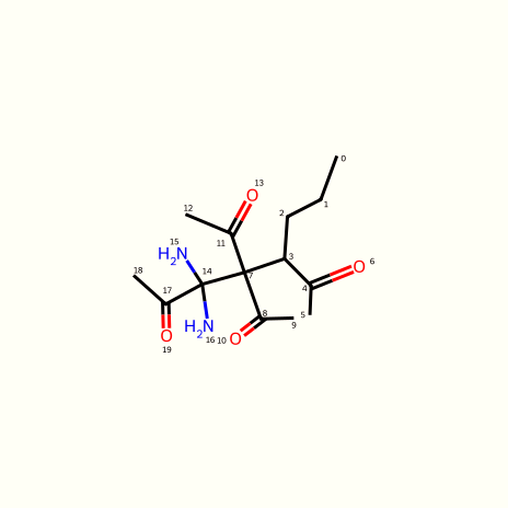 CCCC(C(C)=O)C(C(C)=O)(C(C)=O)C(N)(N)C(C)=O